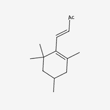 CC(=O)C=CC1=C(C)CC(C)CC1(C)C